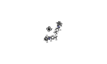 Cc1cc(N(C)CCCN(C)c2ccc(/N=N/c3n(C)nc[n+]3C)c(C)c2)ccc1/N=N/c1n(C)nc[n+]1C.O=S(=O)([O-])[O-]